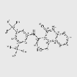 O=C(Nc1cc(C(F)(F)F)cc(C(F)(F)F)c1)c1c(CO)c2ccccc2[nH]c1=O